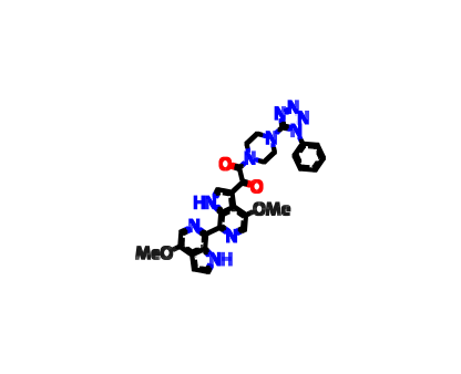 COc1cnc(-c2ncc(OC)c3c(C(=O)C(=O)N4CCN(c5nnnn5-c5ccccc5)CC4)c[nH]c23)c2[nH]ccc12